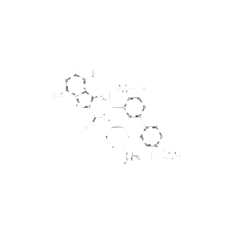 COc1ccc(-c2ccc(SC)cc2)cc1CN(C(=O)c1sc2c(F)ccc(F)c2c1Cl)[C@H]1CC[C@H](N(C)Cl)CC1